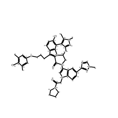 Cc1cc(OCCCc2c3n(c4c(-c5c(C)nn(C)c5C)c(Cl)ccc24)C(C)CN(c2cn(CC(=O)N4CCCC4)c4ccc(-c5ncn(C)n5)cc24)C3=O)cc(C)c1Cl